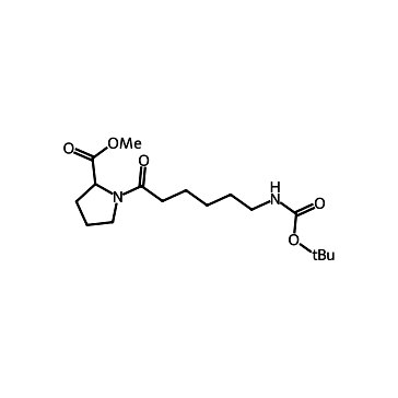 COC(=O)C1CCCN1C(=O)CCCCCNC(=O)OC(C)(C)C